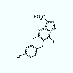 Cc1nc2c(C(=O)O)cnn2c(Cl)c1Cc1ccc(Cl)cc1